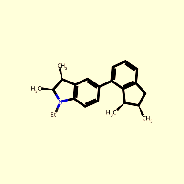 CCN1c2ccc(-c3cccc4c3[C@H](C)[C@H](C)C4)cc2[C@H](C)[C@@H]1C